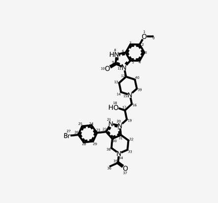 COc1ccc2c(c1)[nH]c(=O)n2C1CCN(CC(O)Cn2nc(-c3ccc(Br)cc3)c3c2CCN(C(C)=O)C3)CC1